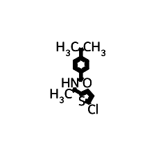 CC(C)c1ccc(C(=O)NC(C)c2ccc(Cl)s2)cc1